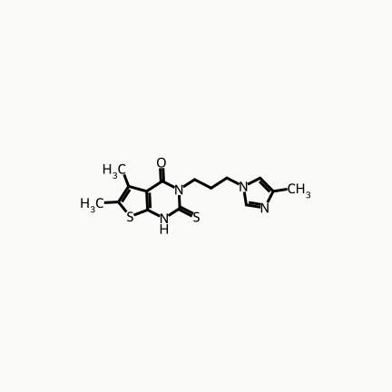 Cc1cn(CCCn2c(=S)[nH]c3sc(C)c(C)c3c2=O)cn1